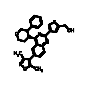 Cc1noc(C)c1-c1ccc2nc(-c3csc(CO)c3)nc(N3CCOCC3c3ccccc3)c2c1